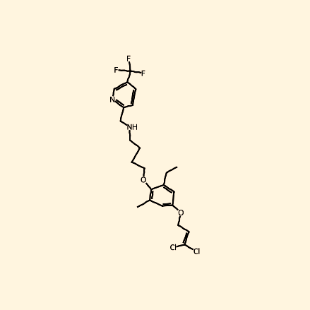 CCc1cc(OCC=C(Cl)Cl)cc(C)c1OCCCCNCc1ccc(C(F)(F)F)cn1